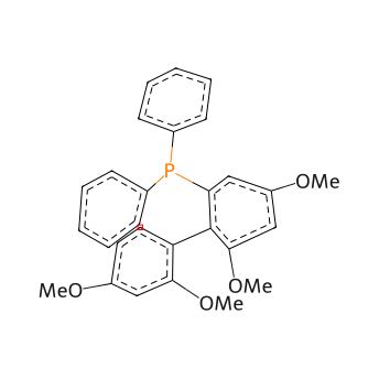 COc1ccc(-c2c(OC)cc(OC)cc2P(c2ccccc2)c2ccccc2)c(OC)c1